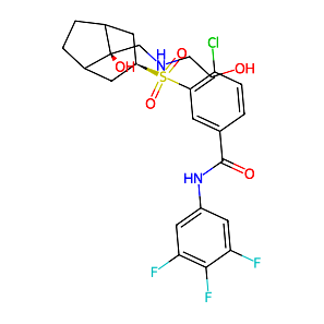 O=C(Nc1cc(F)c(F)c(F)c1)c1ccc(Cl)c(S(=O)(=O)[C@H]2CC3CCC(C2)[C@]3(O)CNCCO)c1